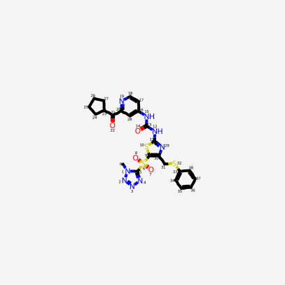 Cn1nnnc1S(=O)(=O)c1sc(NC(=O)Nc2ccnc(C(=O)C3CCCC3)c2)nc1CSc1ccccc1